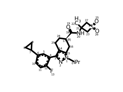 CC(C)n1nc(-c2cc(C3CC3)ccc2F)c2c1C[C@H](C(=O)NC1(C)CS(=O)(=O)C1)CC2